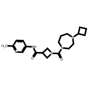 Cc1ccc(NC(=O)C2CN(C(=O)N3CCCN(C4CCC4)CC3)C2)cn1